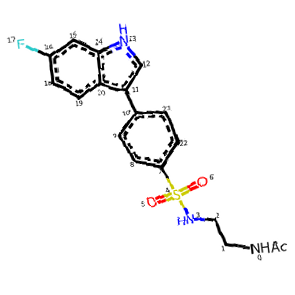 CC(=O)NCCNS(=O)(=O)c1ccc(-c2c[nH]c3cc(F)ccc23)cc1